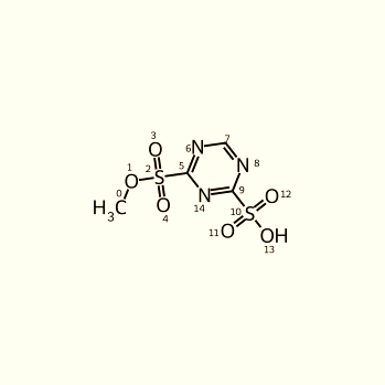 COS(=O)(=O)c1ncnc(S(=O)(=O)O)n1